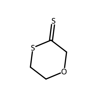 S=C1COCCS1